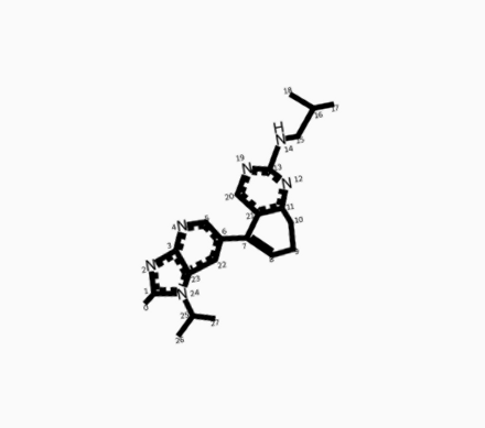 Cc1nc2ncc(C3=CCCc4nc(NCC(C)C)ncc43)cc2n1C(C)C